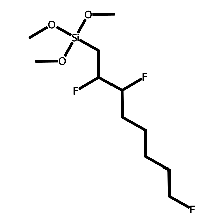 CO[Si](CC(F)C(F)CCCCCF)(OC)OC